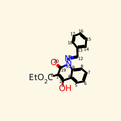 CCOC(=O)c1c(O)c2ccccc2n(N=Cc2ccccc2)c1=O